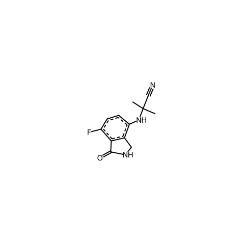 CC(C)(C#N)Nc1ccc(F)c2c1CNC2=O